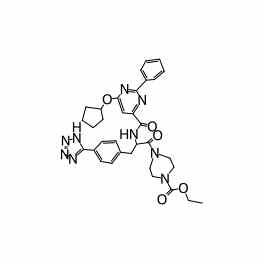 CCOC(=O)N1CCN(C(=O)C(Cc2ccc(-c3nnn[nH]3)cc2)NC(=O)c2cc(OC3CCCC3)nc(-c3ccccc3)n2)CC1